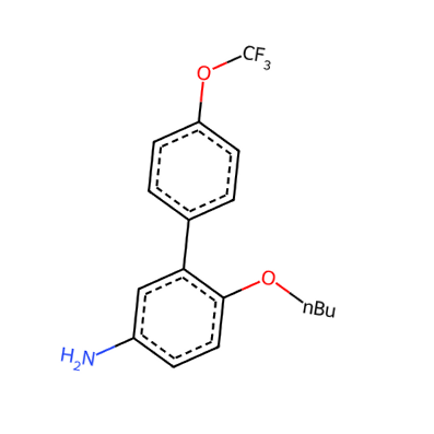 CCCCOc1ccc(N)cc1-c1ccc(OC(F)(F)F)cc1